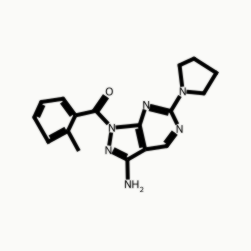 Cc1ccccc1C(=O)n1nc(N)c2cnc(N3CCCC3)nc21